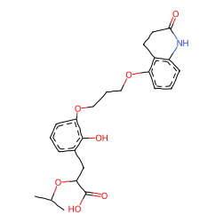 CC(C)OC(Cc1cccc(OCCCOc2cccc3c2CCC(=O)N3)c1O)C(=O)O